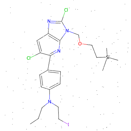 CCCN(CCI)c1ccc(-c2nc3c(cc2Cl)nc(Cl)n3COCC[Si](C)(C)C)cc1